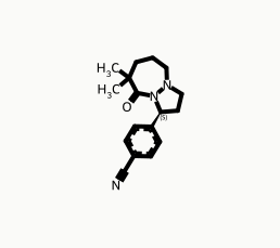 CC1(C)CCCN2CC[C@@H](c3ccc(C#N)cc3)N2C1=O